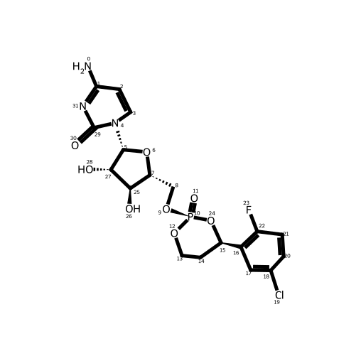 Nc1ccn([C@@H]2O[C@H](CO[P@]3(=O)OCC[C@H](c4cc(Cl)ccc4F)O3)[C@@H](O)[C@@H]2O)c(=O)n1